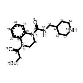 CC(C)(C)CC(=O)N1CCN(C(=O)NCC2CCNCC2)c2ccccc21